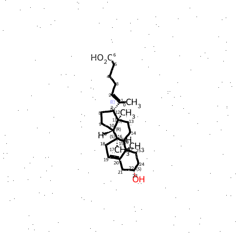 C/C(=C\CCCC(=O)O)[C@H]1CC[C@@H]2[C@]1(C)CC[C@H]1[C@@]2(C)CC=C2C[C@@H](O)CC[C@@]21C